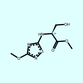 COC(=O)[C@H](CO)Nc1nc(OC)ns1